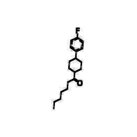 CCCCCCC(=O)C1CCC(c2ccc(F)cc2)CC1